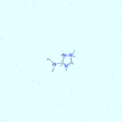 CN(C)c1ncn(C)n1